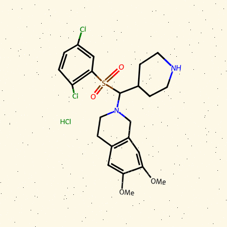 COc1cc2c(cc1OC)CN(C(C1CCNCC1)S(=O)(=O)c1cc(Cl)ccc1Cl)CC2.Cl